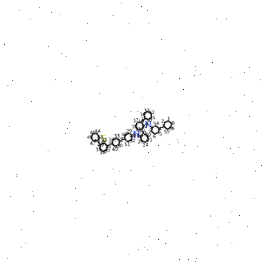 c1ccc(-c2cccc(-n3c4ccccc4c4ccc5c(c6ccccc6n5-c5ccc(-c6ccc(-c7cccc8c7sc7ccccc78)cc6)cc5)c43)c2)cc1